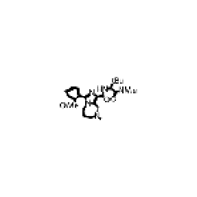 CNC(=O)C(NC(=O)c1nc(-c2ccccc2OC)n2c1CN(C)CCC2)C(C)(C)C